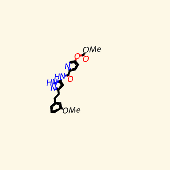 COC(=O)Oc1ccc(C(=O)Nc2cc(CCc3cccc(OC)c3)n[nH]2)nc1